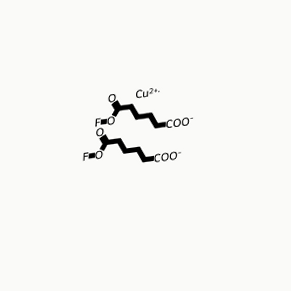 O=C([O-])CCCCC(=O)OF.O=C([O-])CCCCC(=O)OF.[Cu+2]